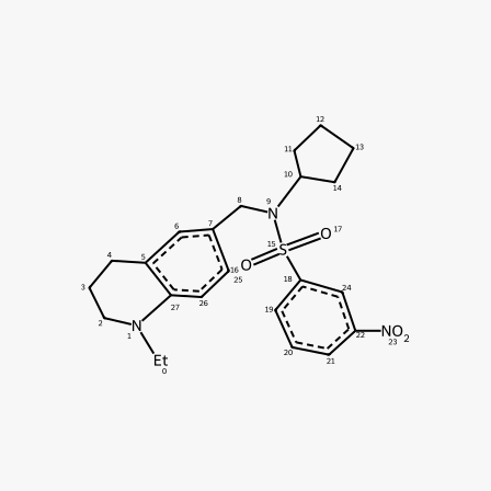 CCN1CCCc2cc(CN(C3CCCC3)S(=O)(=O)c3cccc([N+](=O)[O-])c3)ccc21